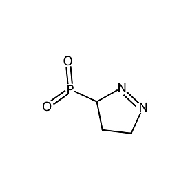 O=P(=O)C1CCN=N1